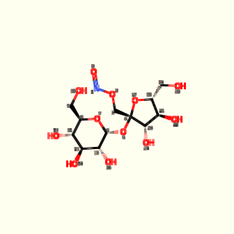 O=NOC[C@@]1(O[C@H]2O[C@H](CO)[C@@H](O)[C@H](O)[C@H]2O)O[C@H](CO)[C@@H](O)[C@@H]1O